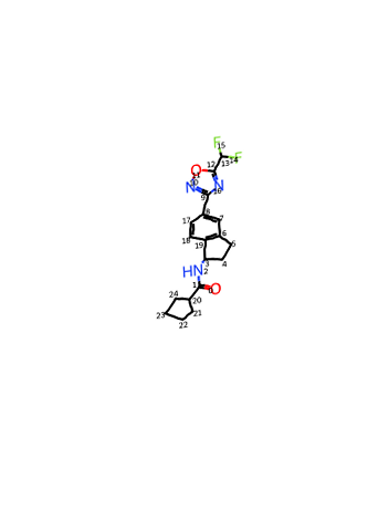 O=C(N[C@@H]1CCc2cc(-c3noc(C(F)F)n3)ccc21)C1CCCC1